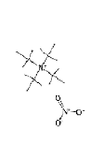 CC(C)(C)[N+](C(C)(C)C)(C(C)(C)C)C(C)(C)C.O=[N+]([O-])[O-]